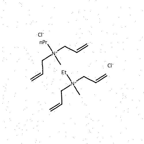 C=CC[N+](C)(CC)CC=C.C=CC[N+](C)(CC=C)CCC.[Cl-].[Cl-]